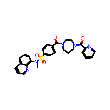 O=C(C1=C=C=CC=N1)N1CCCN(C(=O)c2ccc(S(=O)(=O)Nc3cccc4c#ccnc34)cc2)CC1